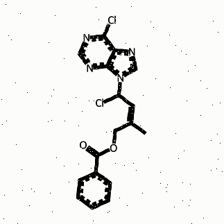 C/C(=C/C(Cl)n1cnc2c(Cl)ncnc21)COC(=O)c1ccccc1